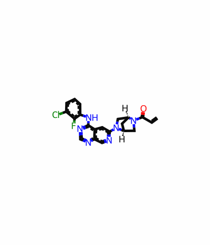 C=CC(=O)N1C[C@@H]2C[C@H]1CN2c1cc2c(Nc3cccc(Cl)c3F)ncnc2cn1